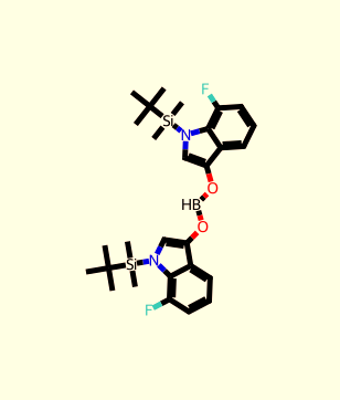 CC(C)(C)[Si](C)(C)n1cc(OBOc2cn([Si](C)(C)C(C)(C)C)c3c(F)cccc23)c2cccc(F)c21